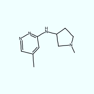 Cc1cnnc(NC2CCN(C)C2)c1